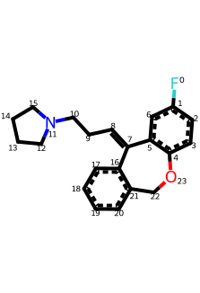 Fc1ccc2c(c1)/C(=C/CCN1CCCC1)c1ccccc1CO2